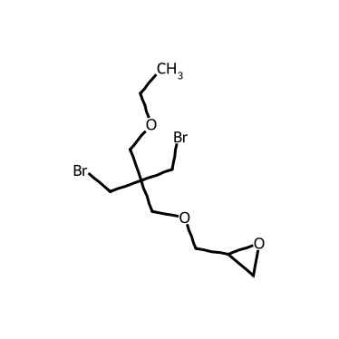 CCOCC(CBr)(CBr)COCC1CO1